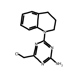 Nc1nc(CCl)nc(N2CCCc3ccccc32)n1